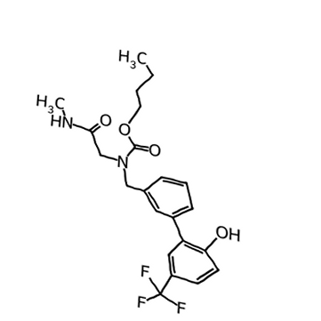 CCCCOC(=O)N(CC(=O)NC)Cc1cccc(-c2cc(C(F)(F)F)ccc2O)c1